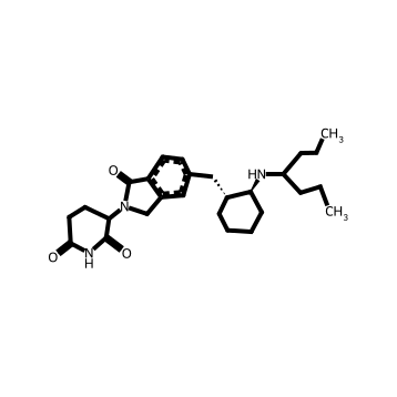 CCCC(CCC)N[C@H]1CCCC[C@@H]1Cc1ccc2c(c1)CN(C1CCC(=O)NC1=O)C2=O